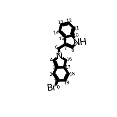 BrC1=CC2=CN(Cc3c[nH]c4ccccc34)CC2C=C1